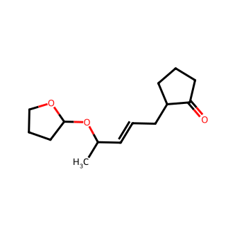 CC(C=CCC1CCCC1=O)OC1CCCO1